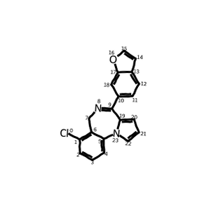 Clc1cccc2c1CN=C(c1ccc3ccoc3c1)c1cccn1-2